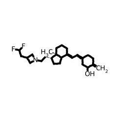 C=C1CC/C(=C/C=C2\CCC[C@@]3(C)C2CC[C@@H]3CCN2CC(CC(F)F)C2)CC1O